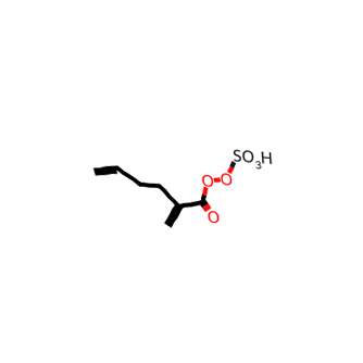 C=CCCC(=C)C(=O)OOS(=O)(=O)O